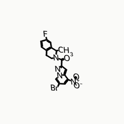 CC1c2cc(F)ccc2CCN1C(=O)c1cc2c([N+](=O)[O-])cc(Br)cn2n1